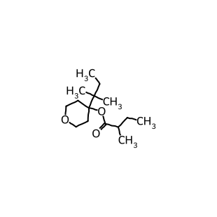 CCC(C)C(=O)OC1(C(C)(C)CC)CCOCC1